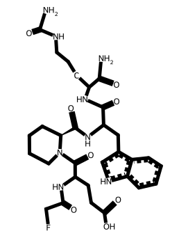 NC(=O)NCCCC(NC(=O)C(Cc1c[nH]c2ccccc12)NC(=O)[C@@H]1CCCCN1C(=O)C(CCC(=O)O)NC(=O)CF)C(N)=O